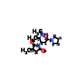 C=C(NC)C(CC(=O)N1CCCC1)N1C(=O)CC(C)C1=O